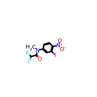 CN(C(=O)C(F)F)c1ccc([N+](=O)[O-])c(I)c1